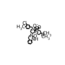 Cc1ccc(C[N@+]2(C(=O)[O-])CCC(N3CCc4ccccc4NC3=O)CC2(CC=O)N2CCC(N(C)C)CC2)cc1Cl